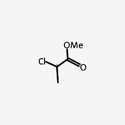 COC(=O)[C](C)Cl